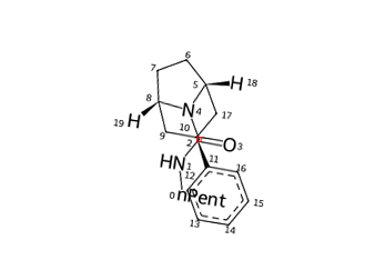 CCCCCNC(=O)N1[C@@H]2CC[C@H]1C[C@H](c1ccccc1)C2